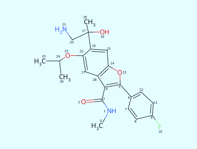 CNC(=O)c1c(-c2ccc(F)cc2)oc2cc(C(C)(O)CN)c(OC(C)C)cc12